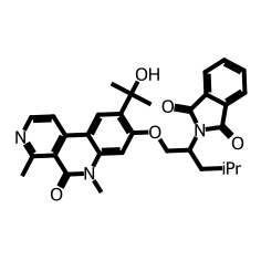 Cc1nccc2c1c(=O)n(C)c1cc(OCC(CC(C)C)N3C(=O)c4ccccc4C3=O)c(C(C)(C)O)cc21